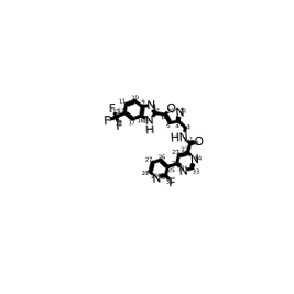 O=C(NCc1cc(-c2nc3ccc(C(F)(F)F)cc3[nH]2)on1)c1cc(-c2cccnc2F)ncn1